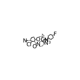 CC1(COc2ccc(C#N)c(Cl)c2C(=O)N2CCc3nn(-c4ccc(F)cc4)cc3C2)CC1